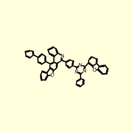 c1ccc(-c2ccc(-c3c4c(cc5c(-c6ccc(-c7nc(-c8ccccc8)nc(-c8cccc9c8oc8ccccc89)n7)cc6)nc6ccccc6c35)oc3ccccc34)cc2)cc1